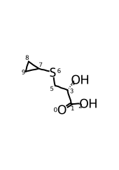 O=C(O)[C@@H](O)CSC1CC1